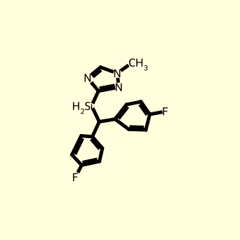 Cn1cnc([SiH2]C(c2ccc(F)cc2)c2ccc(F)cc2)n1